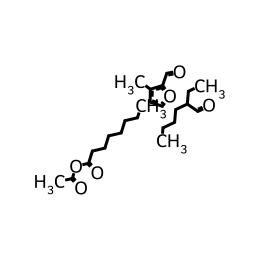 CCCCC(C=O)CC.CCCCCCCC(=O)OC(C)=O.Cc1ccoc1C=O